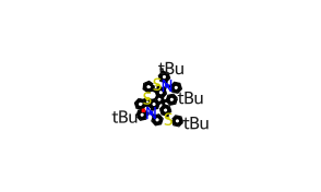 CC(C)(C)c1ccc(Sc2ccc(C3(c4ccc(C(C)(C)C)cc4)c4cc(N(c5ccccc5)c5ccc(C(C)(C)C)cc5)c5c(sc6ccccc65)c4-c4c3cc(N(c3ccccc3)c3ccc(C(C)(C)C)cc3)c3sc5ccccc5c43)cc2)cc1